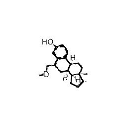 COC[C@@H]1C[C@H]2[C@H](CC[C@]3(C)[CH]CC[C@@H]23)c2ccc(O)cc21